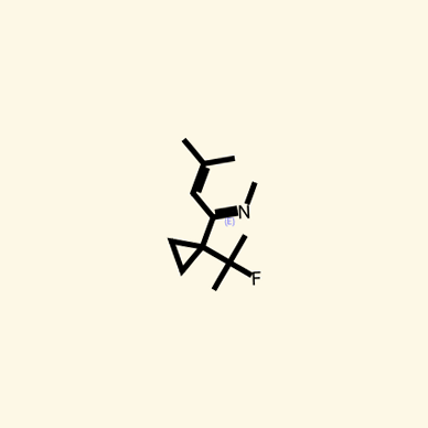 C/N=C(\C=C(C)C)C1(C(C)(C)F)CC1